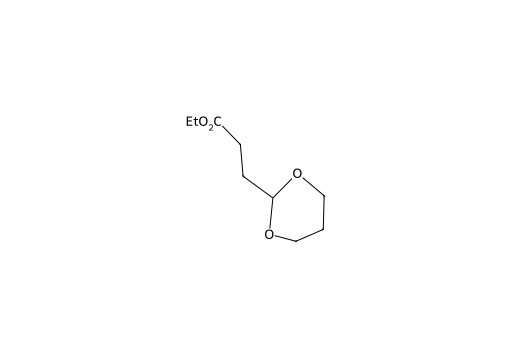 CCOC(=O)CCC1OCCCO1